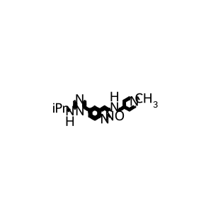 CC(C)Nc1cncc(-c2ccc3nnc(NC(=O)C4CCN(C)CC4)cc3c2)n1